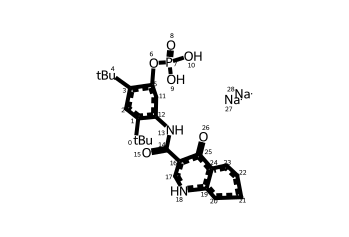 CC(C)(C)c1cc(C(C)(C)C)c(OP(=O)(O)O)cc1NC(=O)c1c[nH]c2ccccc2c1=O.[Na].[Na]